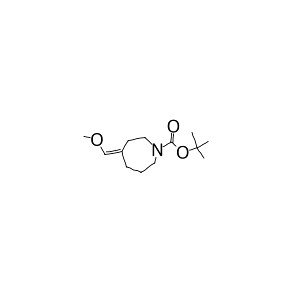 COC=C1CCCN(C(=O)OC(C)(C)C)CC1